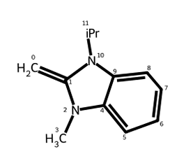 C=C1N(C)c2ccccc2N1C(C)C